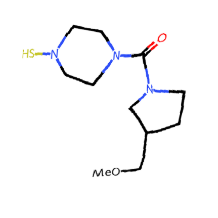 COCC1CCN(C(=O)N2CCN(S)CC2)C1